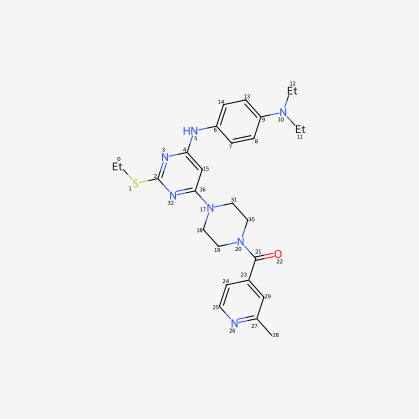 CCSc1nc(Nc2ccc(N(CC)CC)cc2)cc(N2CCN(C(=O)c3ccnc(C)c3)CC2)n1